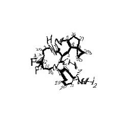 C=C1c2cc3c(nc2NCCCC(F)(F)CCN1c1cccc(SN)c1)CCC31CC1